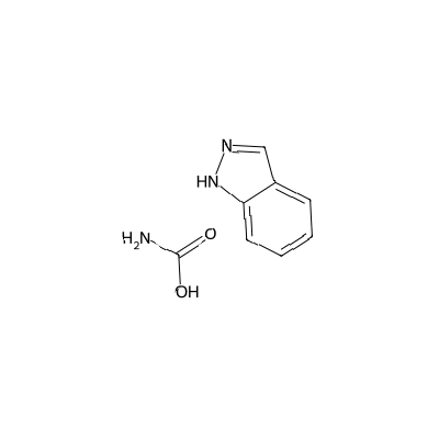 NC(=O)O.c1ccc2[nH]ncc2c1